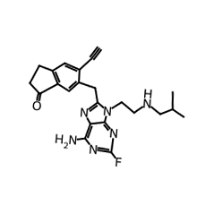 C#Cc1cc2c(cc1Cc1nc3c(N)nc(F)nc3n1CCNCC(C)C)C(=O)CC2